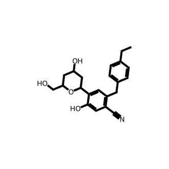 CCc1ccc(Cc2cc(C3CC(O)CC(CO)O3)c(O)cc2C#N)cc1